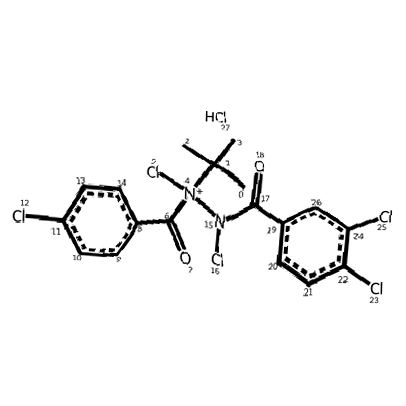 CC(C)(C)[N+](Cl)(C(=O)c1ccc(Cl)cc1)N(Cl)C(=O)c1ccc(Cl)c(Cl)c1.Cl